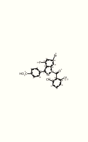 O=C(O)c1ccc(-c2nn(C(=O)c3c(Cl)cccc3C(F)(F)F)c3cc(Br)cc(F)c23)cc1